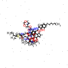 CCCCCCc1ccc([C@H](O)[C@@H](C)NC(=O)C(C)C(OC)C2CCCC2C(=O)CC(OC)C([C@@H](C)CC)N(C)C(=O)C(NC(=O)[C@H](C(C)C)N(C)C(=O)OCc2ccc(NC(=O)OC3/C=C/COCOC3)c(NC(=O)CCNC(=O)CSC(C)(C)CCC)c2)C(C)C)cc1